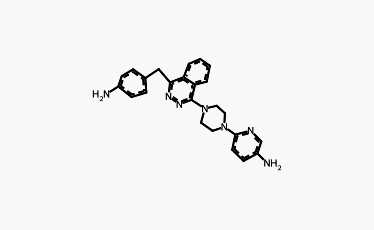 Nc1ccc(Cc2nnc(N3CCN(c4ccc(N)cn4)CC3)c3ccccc23)cc1